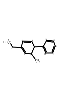 CC1C=C(CC(=O)O)C=CC1c1ccccc1